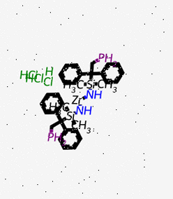 C[Si](C)([NH][Zr][NH][Si](C)(C)C(CP)(c1ccccc1)c1ccccc1)C(CP)(c1ccccc1)c1ccccc1.Cl.Cl.Cl